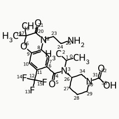 CC(C)N(C(=O)c1cc2c(cc1C(F)(F)F)OC(C)(C)C(=O)N2CCN)[C@@H]1CCCN(C(=O)O)C1